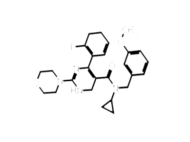 COc1cccc(CN(C(=O)C2=C(C3=C(F)CCC=C3)N=C(N3CCOCC3)NC2)C2CC2)c1